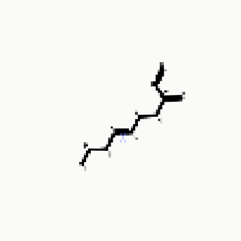 C=CC(=C)CC/C=C/CCC